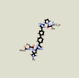 COC(=O)N[C@H](C(=O)N1CC2(CC1c1nc(-c3ccc(-c4ccc(-c5c[nH]c([C@@H]6CCCN6C(=O)[C@@H](NC(=O)O)C(C)C)n5)cc4)cc3)c[nH]1)CN(C(C)=O)C2)C(C)C